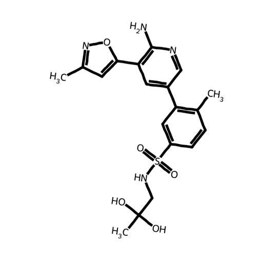 Cc1cc(-c2cc(-c3cc(S(=O)(=O)NCC(C)(O)O)ccc3C)cnc2N)on1